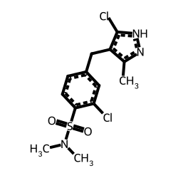 Cc1n[nH]c(Cl)c1Cc1ccc(S(=O)(=O)N(C)C)c(Cl)c1